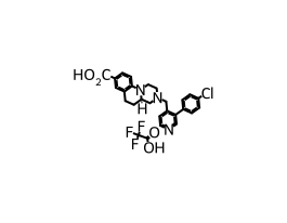 O=C(O)C(F)(F)F.O=C(O)c1ccc2c(c1)CC[C@@H]1CN(Cc3ccncc3-c3ccc(Cl)cc3)CCN21